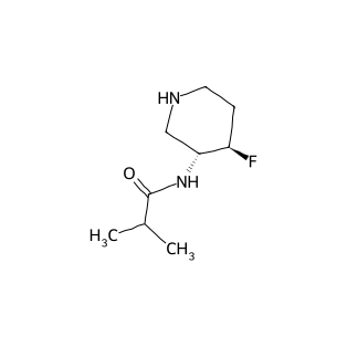 CC(C)C(=O)N[C@@H]1CNCC[C@H]1F